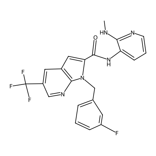 CNc1ncccc1NC(=O)c1cc2cc(C(F)(F)F)cnc2n1Cc1cccc(F)c1